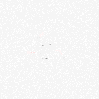 O=Cc1cc(OC(F)(F)F)c(Br)cc1O